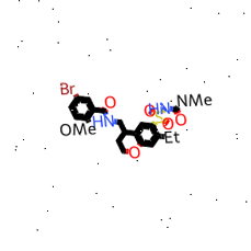 CCc1cc2c(cc1S(=O)(=O)NC(=O)NC)C(CNC(=O)c1cc(Br)ccc1OC)CCO2